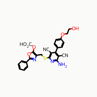 N#Cc1c(N)nc(SCc2nc(-c3ccccc3)oc2OC(=O)O)c(C#N)c1-c1ccc(OCCO)cc1